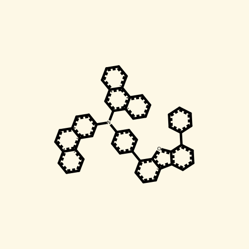 c1ccc(-c2cccc3c2oc2c(-c4ccc(N(c5ccc6ccc7ccccc7c6c5)c5cc6ccccc6c6ccccc56)cc4)cccc23)cc1